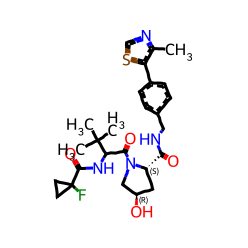 Cc1ncsc1-c1ccc(CNC(=O)[C@@H]2C[C@@H](O)CN2C(=O)C(NC(=O)C2(F)CC2)C(C)(C)C)cc1